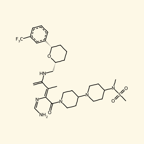 C=C(NC[C@H]1CCC[C@@H](c2cccc(C(F)(F)F)c2)O1)/C(C)=C(\N=C/N)C(=O)N1CCC(N2CCC(N(C)S(C)(=O)=O)CC2)CC1